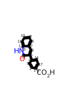 O=C(O)c1ccc(-c2cc3ccccc3[nH]c2=O)cc1